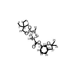 CCC1(CC)COP(=S)(N(C)SN(C)C(=O)Oc2cccc3c2OC(C)(C)C3)OC1